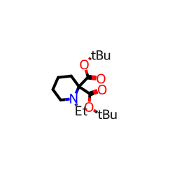 CCN1CCCCC1(C(=O)OC(C)(C)C)C(=O)OC(C)(C)C